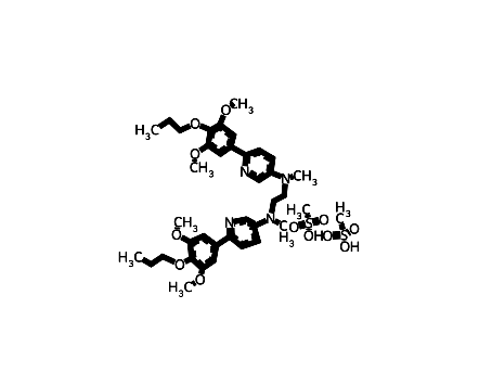 CCCOc1c(OC)cc(-c2ccc(N(C)CCN(C)c3ccc(-c4cc(OC)c(OCCC)c(OC)c4)nc3)cn2)cc1OC.CS(=O)(=O)O.CS(=O)(=O)O